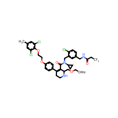 COCOCC1NCCC(c2ccc(OCCOc3c(Cl)cc(C)cc3Cl)cc2)=C1C(=O)N(Cc1cc(CNC(=O)CC(F)(F)F)ccc1Cl)C1CC1